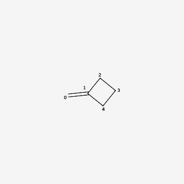 C=C1CCC1